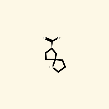 O=C(O)[C@@H]1CCC2(CCCN2)C1